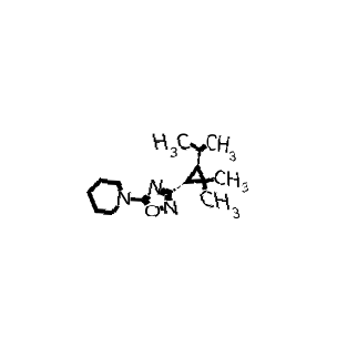 CC(C)[C@@H]1[C@@H](c2noc(N3CCCCC3)n2)C1(C)C